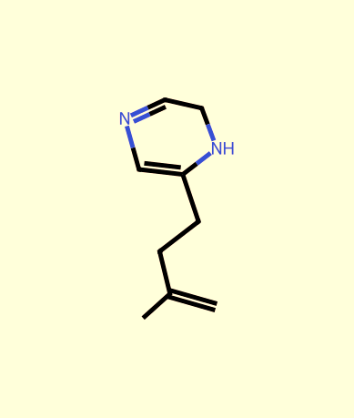 C=C(C)CCC1=CN=CCN1